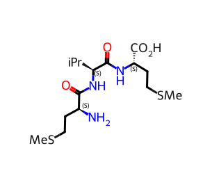 CSCC[C@H](NC(=O)[C@@H](NC(=O)[C@@H](N)CCSC)C(C)C)C(=O)O